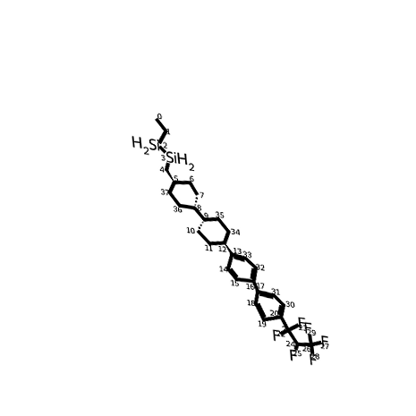 CC[SiH2][SiH2]C[C@H]1CC[C@H]([C@H]2CC[C@H](c3ccc(-c4ccc(C(F)(F)C(F)C(F)(F)F)cc4)cc3)CC2)CC1